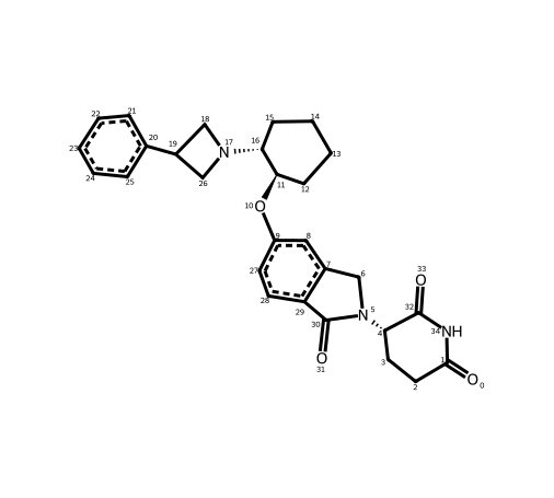 O=C1CC[C@H](N2Cc3cc(O[C@@H]4CCCC[C@H]4N4CC(c5ccccc5)C4)ccc3C2=O)C(=O)N1